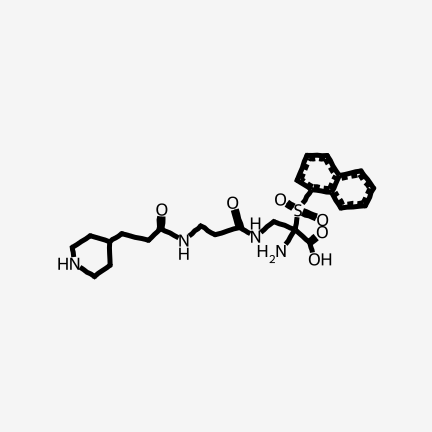 NC(CNC(=O)CCNC(=O)CCC1CCNCC1)(C(=O)O)S(=O)(=O)c1cccc2ccccc12